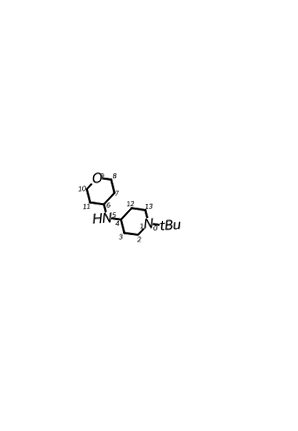 CC(C)(C)N1CCC(NC2CCOCC2)CC1